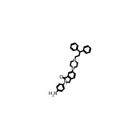 Nc1ccc(N2Cc3ccc(N4CCN(CCC(c5ccccc5)c5ccccc5)CC4)cc3C2=O)cc1